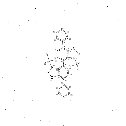 CC(C)(C)P1COc2c(-c3ccccc3)ccc(-c3ccc(-c4ccccc4)c4c3P(C(C)(C)C)CO4)c21